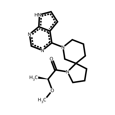 CO[C@@H](C)C(=O)N1CCCC12CCCN(c1ncnc3[nH]ccc13)C2